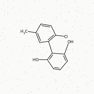 Cc1ccc(Cl)c(-c2c(O)cccc2O)c1